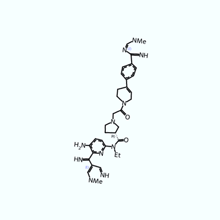 CCN(C(=O)[C@@H]1CCN(CC(=O)N2CC=C(c3ccc(C(=N)/N=C\NC)cc3)CC2)C1)c1ccc(N)c(C(=N)/C(C=N)=C/NC)n1